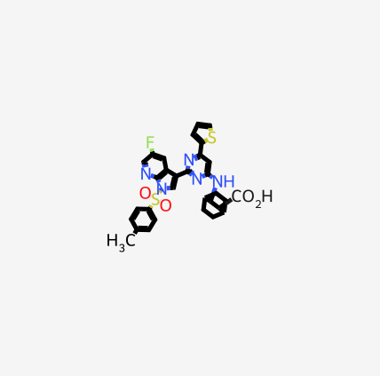 Cc1ccc(S(=O)(=O)n2cc(-c3nc(NC4C5CCC(CC5)C4C(=O)O)cc(-c4cccs4)n3)c3cc(F)cnc32)cc1